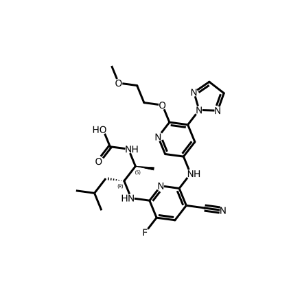 COCCOc1ncc(Nc2nc(N[C@H](CC(C)C)[C@H](C)NC(=O)O)c(F)cc2C#N)cc1-n1nccn1